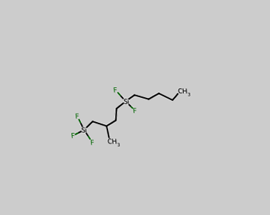 CCCCC[Si](F)(F)CCC(C)C[Si](F)(F)F